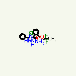 NC(=O)C1(c2ccccc2COCC(F)(F)C(F)(F)F)NNC(c2ccccc2)N1Cl